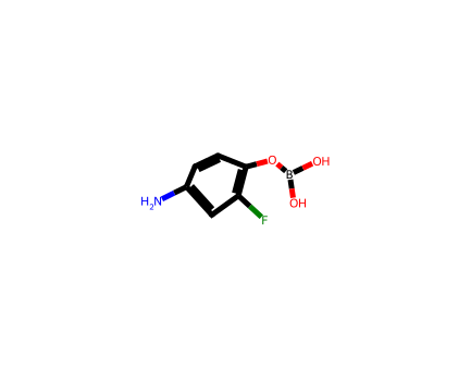 Nc1ccc(OB(O)O)c(F)c1